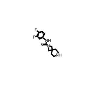 Fc1ccc(NC(=S)N2CC3(CCNCC3)C2)cc1F